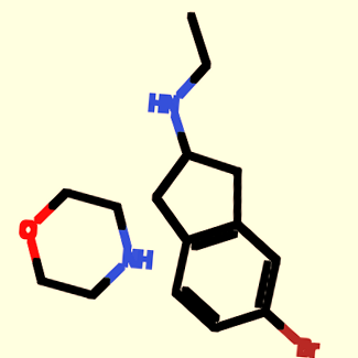 C1COCCN1.CCNC1Cc2ccc(Br)cc2C1